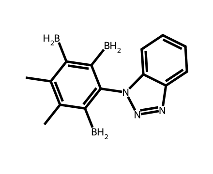 Bc1c(B)c(-n2nnc3ccccc32)c(B)c(C)c1C